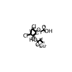 C=C(C)C(=O)O.O=C(O)COc1cc(Cl)c(Cl)cc1Cl.[Cu]